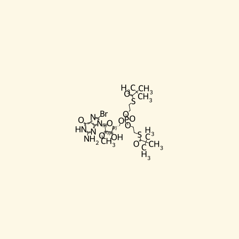 CO[C@@H]1[C@H](O)[C@@H](COP(=O)(OCCSC(=O)C(C)(C)C)OCCSC(=O)C(C)(C)C)O[C@H]1n1c(Br)nc2c(=O)[nH]c(N)nc21